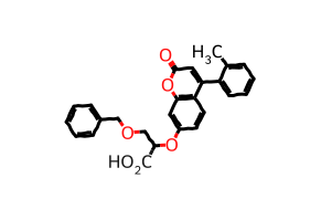 Cc1ccccc1-c1cc(=O)oc2cc(OC(COCc3ccccc3)C(=O)O)ccc12